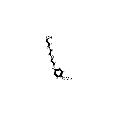 COc1ccc(OCCOCCOCCO)cc1